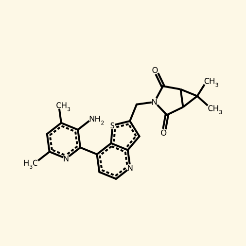 Cc1cc(C)c(N)c(-c2ccnc3cc(CN4C(=O)C5C(C4=O)C5(C)C)sc23)n1